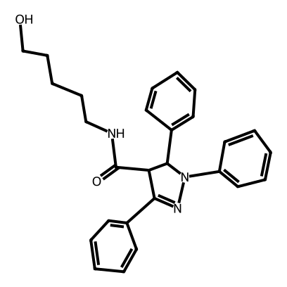 O=C(NCCCCCO)C1C(c2ccccc2)=NN(c2ccccc2)C1c1ccccc1